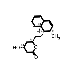 C[C@H]1C=CC2C=CC[CH][C@@H]2[C@H]1CC[C@@H]1C[C@@H](O)CC(=O)O1